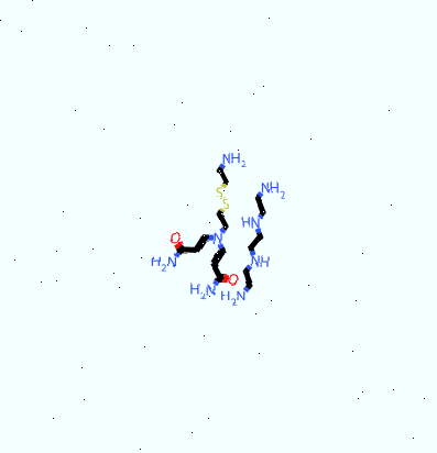 NCCNCCNCCN.NCCSSCCN(C=CC(N)=O)C=CC(N)=O